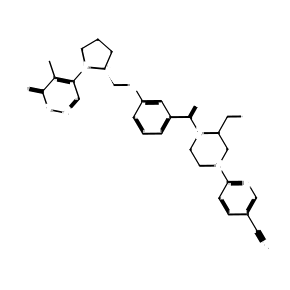 Cc1c(N2CCC[C@H]2COc2cccc(C(=O)N3CCN(c4ccc(C#N)cn4)CC3CO)c2)cn[nH]c1=O